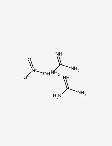 N=C(N)N.N=C(N)N.O=[N+]([O-])O